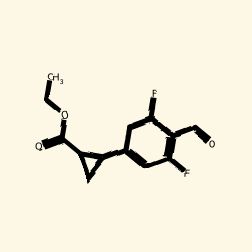 CCOC(=O)C1CC1C1=CC(F)=C(C=O)C(F)C1